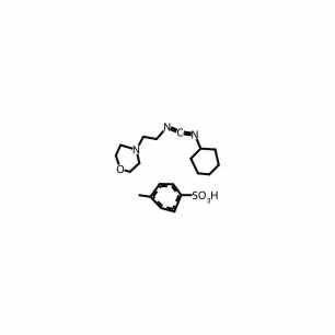 C(=NCCN1CCOCC1)=NC1CCCCC1.Cc1ccc(S(=O)(=O)O)cc1